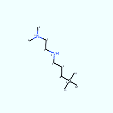 CN(C)CCNCCC[Si](C)(C)C